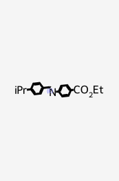 CCOC(=O)c1ccc(/N=C/c2ccc(C(C)C)cc2)cc1